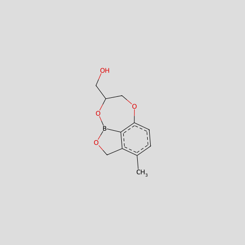 Cc1ccc2c3c1COB3OC(CO)CO2